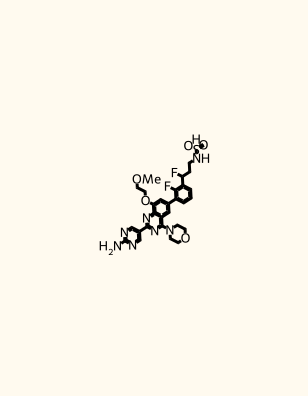 COCCOc1cc(-c2cccc(C(F)CCN[SH](=O)=O)c2F)cc2c(N3CCOCC3)nc(-c3cnc(N)nc3)nc12